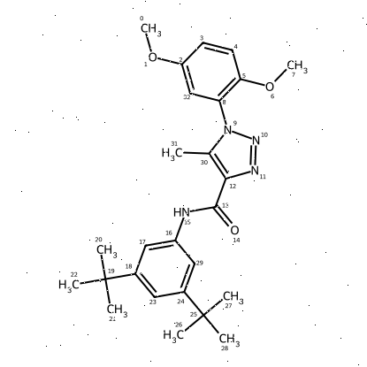 COc1ccc(OC)c(-n2nnc(C(=O)Nc3cc(C(C)(C)C)cc(C(C)(C)C)c3)c2C)c1